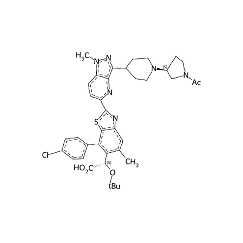 CC(=O)N1CC[C@H](N2CCC(c3nn(C)c4ccc(-c5nc6cc(C)c([C@H](OC(C)(C)C)C(=O)O)c(-c7ccc(Cl)cc7)c6s5)nc34)CC2)C1